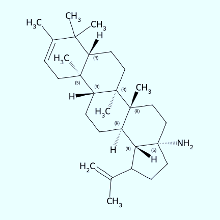 C=C(C)C1CC[C@]2(N)CC[C@]3(C)[C@H](CC[C@@H]4[C@@]5(C)CC=C(C)C(C)(C)[C@@H]5CC[C@]43C)[C@@H]12